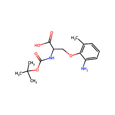 Cc1cccc(N)c1OCC(NC(=O)OC(C)(C)C)C(=O)O